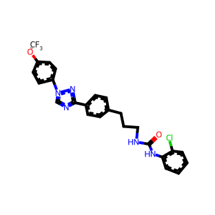 O=C(NCCCc1ccc(-c2ncn(-c3ccc(OC(F)(F)F)cc3)n2)cc1)Nc1ccccc1Cl